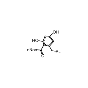 CCCCCCCCCC(=O)c1c(O)cc(O)cc1CC(C)=O